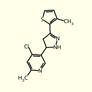 Cc1cc(Cl)c(C2CC(c3sccc3C)=NN2)cn1